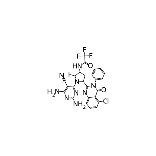 N#Cc1c(N)nc(N)nc1N1C(I)[C@@H](NC(=O)C(F)(F)F)C[C@H]1c1nc2cccc(Cl)c2c(=O)n1-c1ccccc1